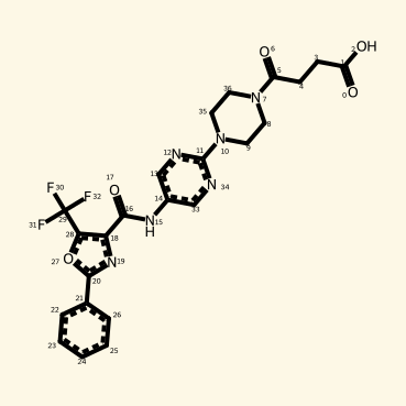 O=C(O)CCC(=O)N1CCN(c2ncc(NC(=O)c3nc(-c4ccccc4)oc3C(F)(F)F)cn2)CC1